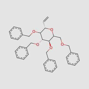 C=C[C@@H]1OC(COCc2ccccc2)[C@@H](OCc2ccccc2)[C@H](OCc2ccccc2)C1OCc1ccccc1